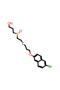 [O-][S+](CCCO)CCCCCCOc1ccc2cc(Br)ccc2c1